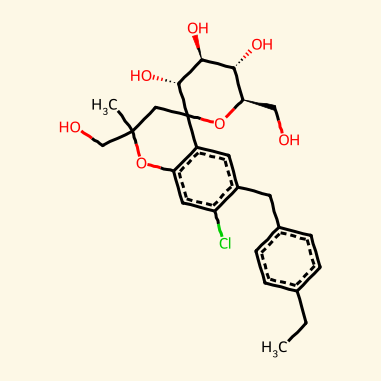 CCc1ccc(Cc2cc3c(cc2Cl)OC(C)(CO)CC32O[C@H](CO)[C@@H](O)[C@H](O)[C@H]2O)cc1